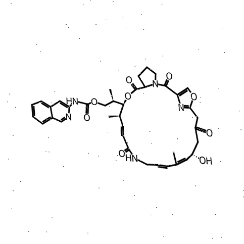 CC1=C\[C@@H](O)CC(=O)Cc2nc(co2)C(=O)N2CCCC2C(=O)O[C@H]([C@H](C)COC(=O)Nc2cc3ccccc3cn2)[C@H](C)/C=C/C(=O)NC\C=C\1